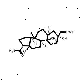 COC[C@@]1(O)CC[C@@]2(C)[C@@H](CC[C@@H]3[C@@H]2CC[C@]2(C)[C@@H](C(N)=O)CC[C@@H]32)C1